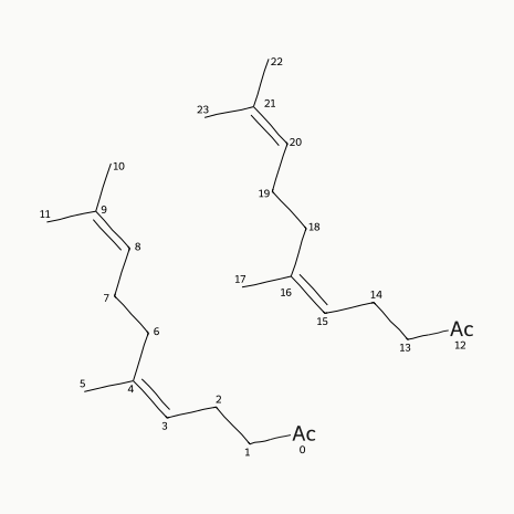 CC(=O)CCC=C(C)CCC=C(C)C.CC(=O)CCC=C(C)CCC=C(C)C